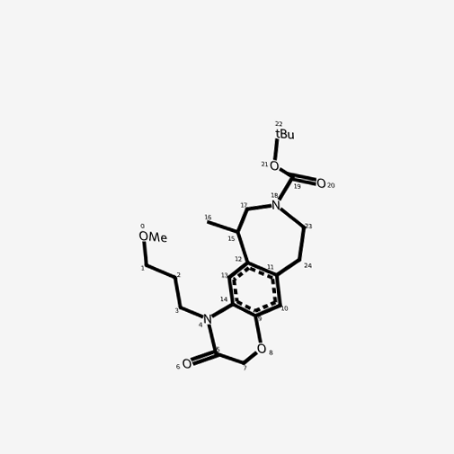 COCCCN1C(=O)COc2cc3c(cc21)C(C)CN(C(=O)OC(C)(C)C)CC3